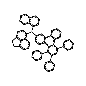 c1ccc(-c2cc(-c3ccccc3)c3c4ccccc4c4cc(N(c5cccc6ccccc56)c5ccc6c7c(cccc57)CC6)ccc4c3c2-c2ccccc2)cc1